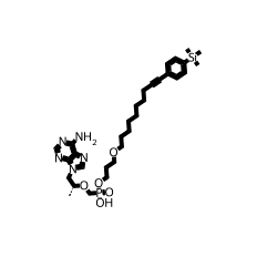 C[C@H](Cn1cnc2c(N)ncnc21)OCP(=O)(O)OCCCOCCCCCCCCC#Cc1ccc([Si](C)(C)C)cc1